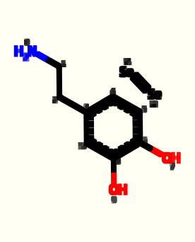 NCCc1ccc(O)c(O)c1.[Se]=[Se]